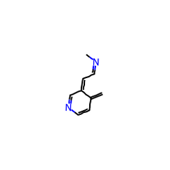 C=c1ccnc/c1=C/C=N\C